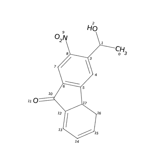 CC(O)c1cc2c(cc1[N+](=O)[O-])C(=O)C1=CC=CCC12